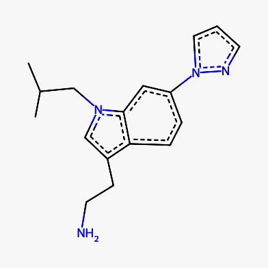 CC(C)Cn1cc(CCN)c2ccc(-n3cccn3)cc21